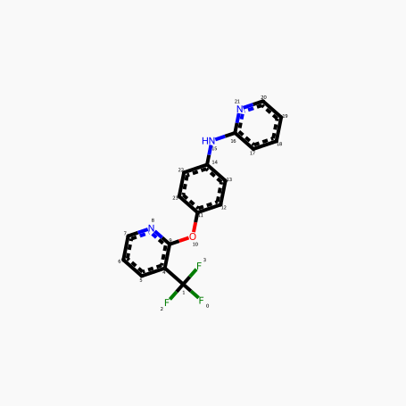 FC(F)(F)c1cccnc1Oc1ccc(Nc2ccccn2)cc1